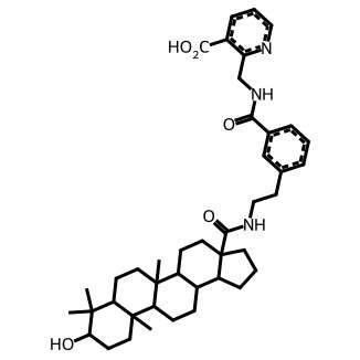 CC1(C)C(O)CCC2(C)C1CCC1(C)C3CCC4(C(=O)NCCc5cccc(C(=O)NCc6ncccc6C(=O)O)c5)CCCC4C3CCC12